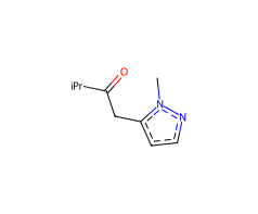 CC(C)C(=O)Cc1ccnn1C